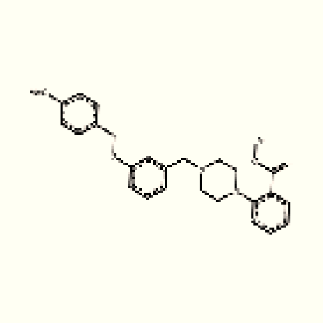 COc1ccc(COc2cccc(CN3CCN(c4ncccc4C(=O)OC(C)C)CC3)c2)cc1